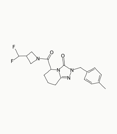 Cc1ccc(Cn2nc3n(c2=O)C(C(=O)N2CC(C(F)F)C2)CCC3)cc1